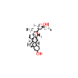 C[C@H](C(=O)CCC(C)(C)O)[C@H]1CC[C@H]2[C@@H]3CC=C4C[C@@H](O)CC[C@]4(C)[C@H]3CC[C@]12C